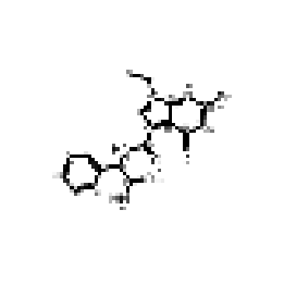 CCS1=CC(C(=O)NC(C([NH])=O)c2ccccc2)=C2C(=O)C=C(Br)N=C21